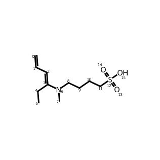 C=C/C=C(\CC)N(C)CCCCS(=O)(=O)O